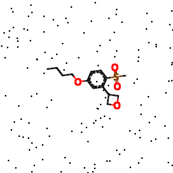 CCCCOc1ccc(S(C)(=O)=O)c(C2COC2)c1